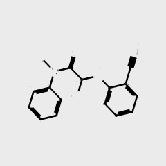 CN(C(=O)C(F)Oc1ccccc1C#N)c1ccccc1